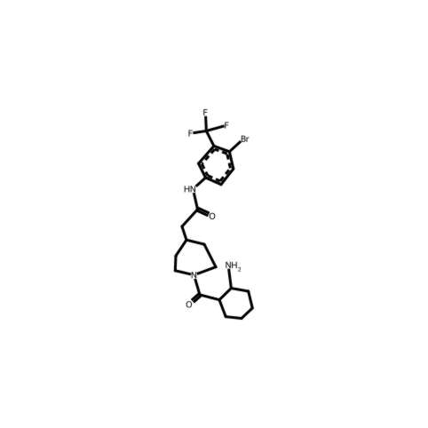 NC1CCCCC1C(=O)N1CCC(CC(=O)Nc2ccc(Br)c(C(F)(F)F)c2)CC1